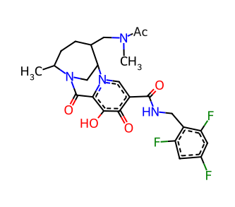 CC(=O)N(C)CC1CCC(C)N2CC1n1cc(C(=O)NCc3c(F)cc(F)cc3F)c(=O)c(O)c1C2=O